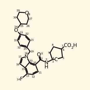 O=C(NC1CCC(C(=O)O)CC1)c1ccc(F)c2ccn(Cc3ccc(OC4CCOCC4)cc3)c12